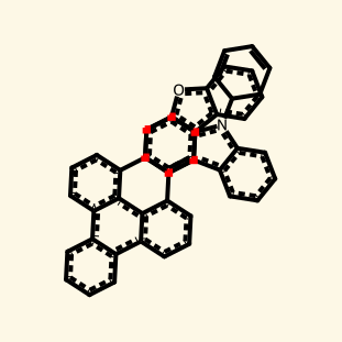 C1=CCC(n2c3ccccc3c3cc(-c4cccc5c6ccccc6c6cccc(C7=Cc8c(oc9ccccc89)CC7)c6c45)ccc32)C=C1